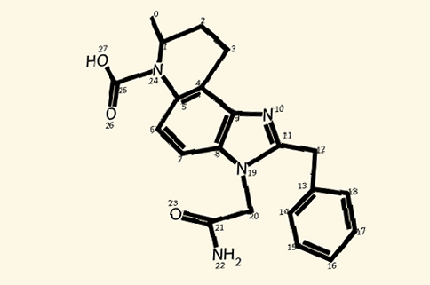 CC1CCc2c(ccc3c2nc(Cc2ccccc2)n3CC(N)=O)N1C(=O)O